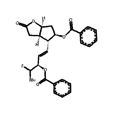 CCCCC(F)[C@@H](C=C[C@@H]1[C@H]2CC(=O)O[C@H]2C[C@H]1OC(=O)c1ccccc1)OC(=O)c1ccccc1